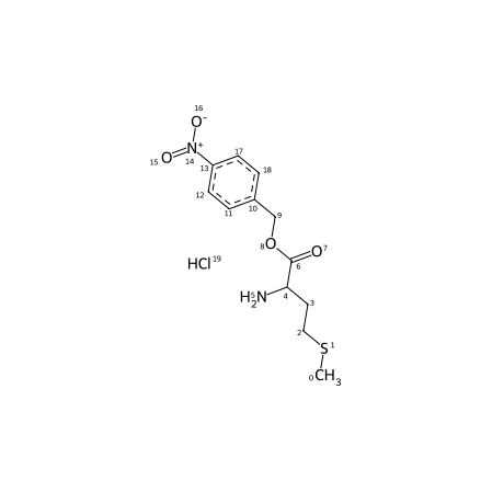 CSCCC(N)C(=O)OCc1ccc([N+](=O)[O-])cc1.Cl